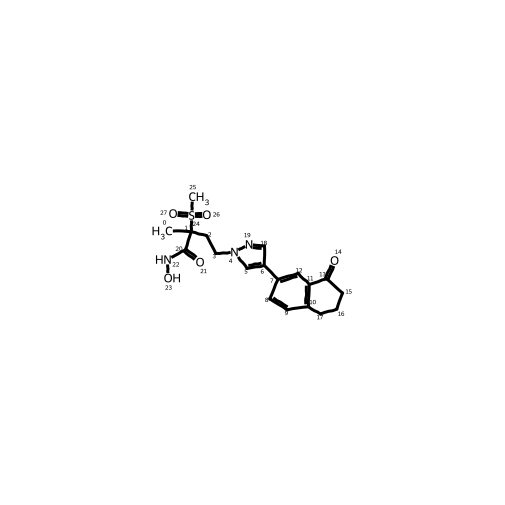 CC(CCn1cc(-c2ccc3c(c2)C(=O)CCC3)cn1)(C(=O)NO)S(C)(=O)=O